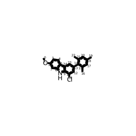 COc1ccc2c(c1)[nH]c1c(Cl)cc(-c3c(C)cc(C)cc3C)cc12